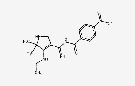 CCNC1=C(C(=N)NC(=O)c2ccc([N+](=O)[O-])cc2)CNC1(C)C